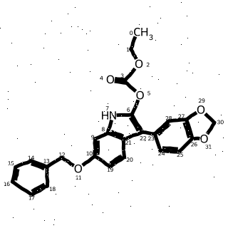 CCOC(=O)Oc1[nH]c2cc(OCc3ccccc3)ccc2c1-c1ccc2c(c1)OCO2